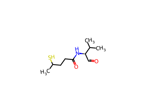 CC(S)CCC(=O)N[C@H](C=O)C(C)C